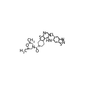 C[C@@H]1CN(C(=O)[C@H]2CCc3c(sc4ncnc(Nc5cc6snnc6cc5Cl)c34)C2)C[C@@H](C)O1